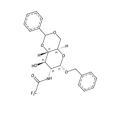 O=C(N[C@H]1[C@@H](OCc2ccccc2)O[C@@H]2COC(c3ccccc3)O[C@H]2[C@@H]1O)C(F)(F)F